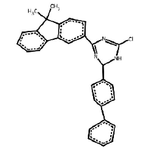 CC1(C)c2ccccc2-c2cc(C3=NC(c4ccc(-c5ccccc5)cc4)NC(Cl)=N3)ccc21